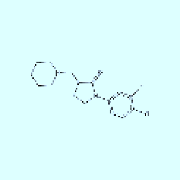 O=C1C(CN2CCCCC2)CCN1c1ccc(Cl)c(Cl)c1